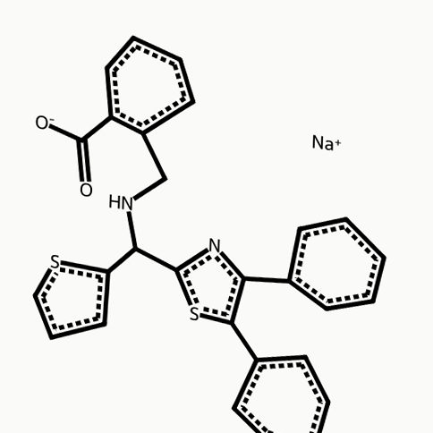 O=C([O-])c1ccccc1CNC(c1cccs1)c1nc(-c2ccccc2)c(-c2ccccc2)s1.[Na+]